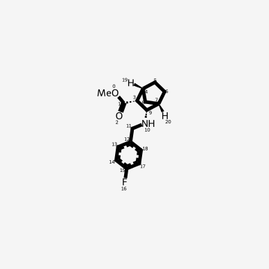 COC(=O)[C@@H]1[C@@H]2CC[C@@H](C2)[C@@H]1NCc1ccc(F)cc1